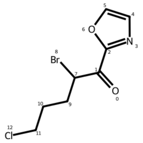 O=C(c1ncco1)C(Br)CCCCl